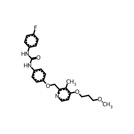 COCCCOc1ccnc(COc2ccc(NC(=O)Nc3ccc(F)cc3)cc2)c1C